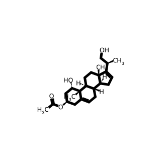 CC(=O)O[C@@H]1CC2=CC[C@@H]3[C@H](CC[C@]4(C)C([C@H](C)CO)=CC[C@@H]34)[C@@]2(C)[C@@H](O)C1